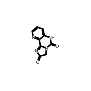 O=C1CN2C(=O)Nc3cccnc3C2=N1